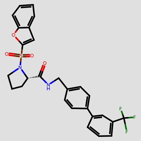 O=C(NCc1ccc(-c2cccc(C(F)(F)F)c2)cc1)[C@@H]1CCCN1S(=O)(=O)c1cc2ccccc2o1